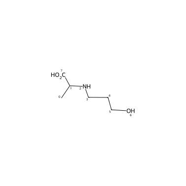 CC(NCCCO)C(=O)O